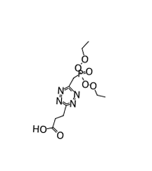 CCOOP(=O)(Cc1nnc(CCC(=O)O)nn1)OOCC